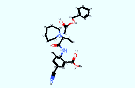 CCC(C(=O)Nc1c(C)cc(C#N)cc1C(=O)OC)[N+]1(CC(=O)OCc2ccccc2)CCCCCC1